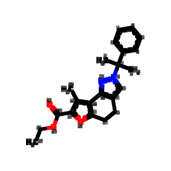 BC(B)(c1ccccc1)n1cc2c(n1)-c1c(oc(C(=O)OCC)c1C)CC2